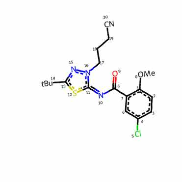 COc1ccc(Cl)cc1C(=O)N=c1sc(C(C)(C)C)nn1CCCC#N